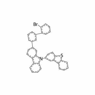 Brc1ccccc1-c1cccc(-c2ccc3c4ccccc4n(-c4ccc5sc6ccccc6c5c4)c3c2)c1